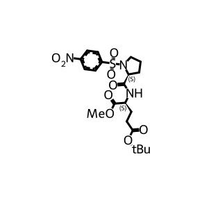 COC(=O)[C@H](CCC(=O)OC(C)(C)C)NC(=O)[C@@H]1CCCN1S(=O)(=O)c1ccc([N+](=O)[O-])cc1